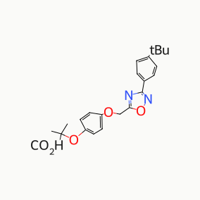 CC(C)(Oc1ccc(OCc2nc(-c3ccc(C(C)(C)C)cc3)no2)cc1)C(=O)O